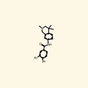 CC(=O)c1cc(C(=O)Nc2ccc3c(c2)CN(C)CC3(C)C)ccc1C(C)C